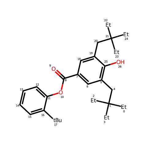 CCC(CC)(CC)Cc1cc(C(=O)Oc2ccccc2C(C)(C)C)cc(CC(CC)(CC)CC)c1O